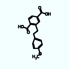 COc1ccc(CCc2cc(C(=O)O)ccc2C(=O)O)cc1